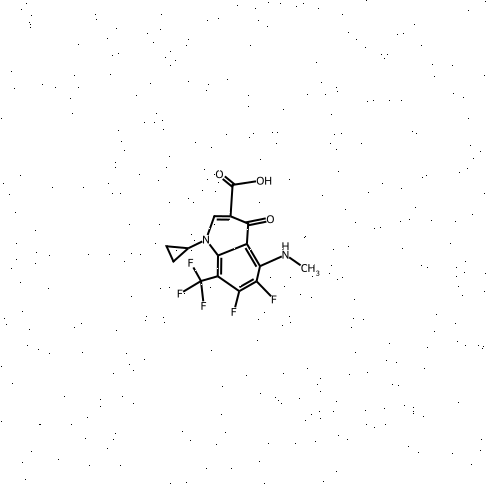 CNc1c(F)c(F)c(C(F)(F)F)c2c1c(=O)c(C(=O)O)cn2C1CC1